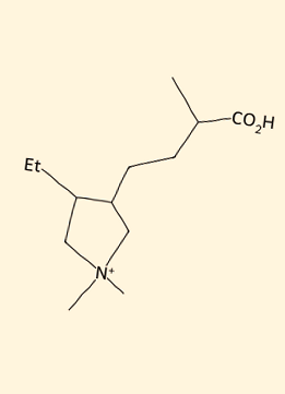 CCC1C[N+](C)(C)CC1CCC(C)C(=O)O